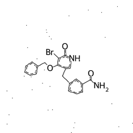 NC(=O)c1cccc(Cc2c[nH]c(=O)c(Br)c2OCc2ccccc2)c1